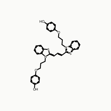 Oc1ccc(OCCCN2C(=CC=Cc3sc4ccccc4[n+]3CCCOc3ccc(O)cc3)Sc3ccccc32)cc1